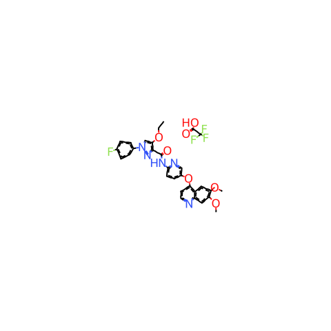 CCOc1cn(-c2ccc(F)cc2)nc1C(=O)Nc1ccc(Oc2ccnc3cc(OC)c(OC)cc23)cn1.O=C(O)C(F)(F)F